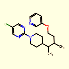 CC(CCOc1cccnc1)C(C)C1CCN(c2ncc(Cl)cn2)CC1